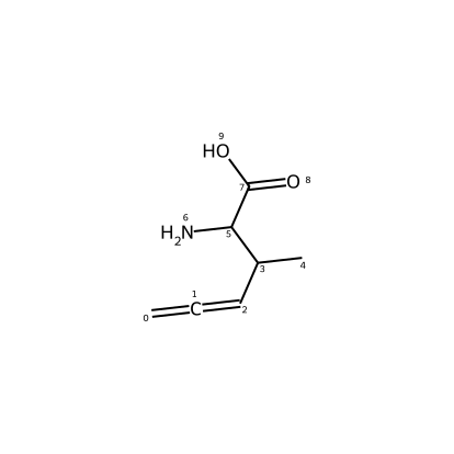 C=C=CC(C)C(N)C(=O)O